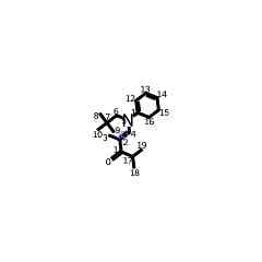 C=C(/C(C)=C/N(CC(C)(C)C)C1=CC=CCC1)C(C)C